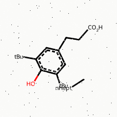 CC(C)(C)c1cc(CCC(=O)O)cc(C(C)(C)C)c1O.CCCCCCCC